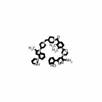 Cc1c(C(=O)N2CCC(CN3CCC(n4c(C)cc5c(N6C=CCNC6)cccc54)CC3)CC2)ccc([C@@H]2CN(c3cc(-c4ccccc4O)nnc3N)CCO2)c1C